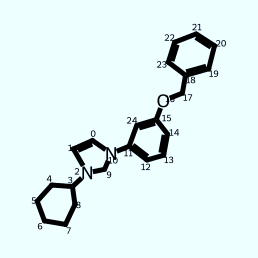 C1=CN(C2CCCCC2)CN1c1cccc(OCc2ccccc2)c1